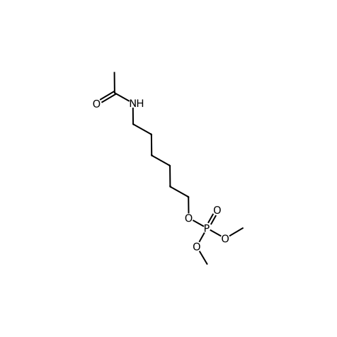 COP(=O)(OC)OCCCCCCNC(C)=O